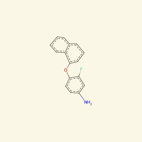 Nc1ccc(Oc2cccc3ccccc23)c(F)c1